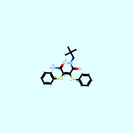 CC(C)(C)CNC(=O)/C(Sc1ccccc1)=C(/Sc1ccccc1)C(N)=O